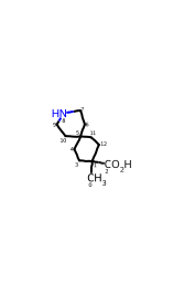 CC1(C(=O)O)CCC2(CCNCC2)CC1